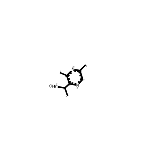 Cc1cnc(C(C)C=O)c(C)n1